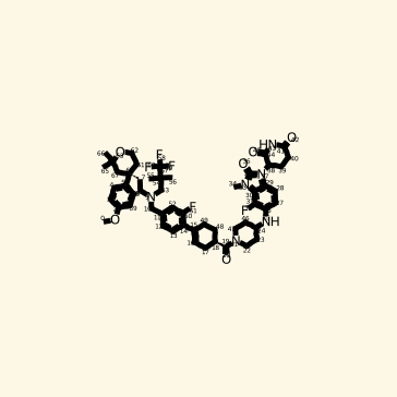 COc1ccc([C@]2(CCN(Cc3ccc(C4=CC[C@H](C(=O)N5CCC(Nc6ccc7c(c6F)n(C)c(=O)n7C6CCC(=O)NC6=O)CC5)CC4)c(F)c3)CC(C)(C)C(F)(F)F)CCOC(C)(C)C2)cc1